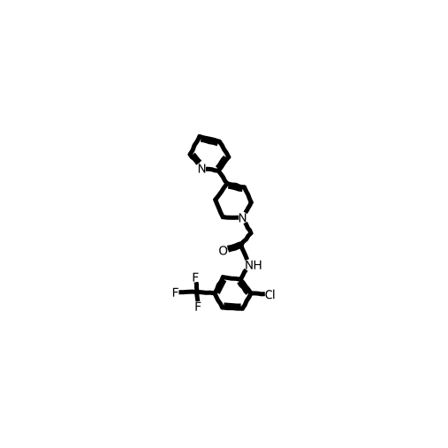 O=C(CN1CC=C(c2ccccn2)CC1)Nc1cc(C(F)(F)F)ccc1Cl